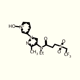 CCN(C(=O)CCS(=O)(=O)CC(F)(F)F)c1cn(-c2ccc[n+](O)c2)nc1C